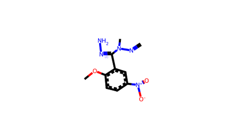 C=NN(C)/C(=N\N)c1cc([N+](=O)[O-])ccc1OC